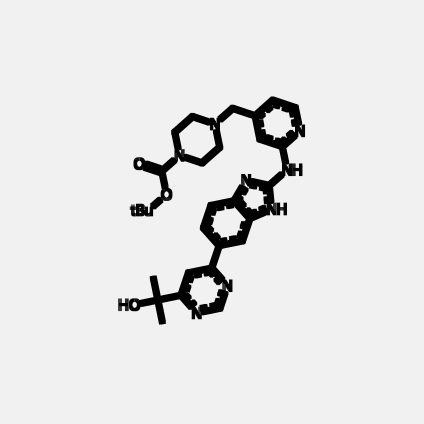 CC(C)(C)OC(=O)N1CCN(Cc2ccnc(Nc3nc4ccc(-c5cc(C(C)(C)O)ncn5)cc4[nH]3)c2)CC1